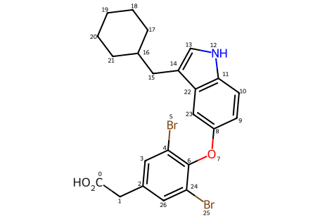 O=C(O)Cc1cc(Br)c(Oc2ccc3[nH]cc(CC4CCCCC4)c3c2)c(Br)c1